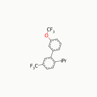 CC(C)c1ccc(C(F)(F)F)cc1-c1cccc(OC(F)(F)F)c1